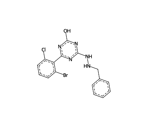 Oc1nc(NNCc2ccccc2)nc(-c2c(Cl)cccc2Br)n1